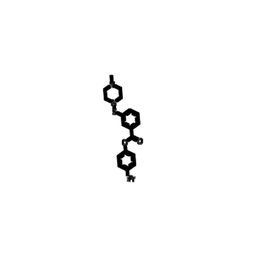 CC(C)c1ccc(OC(=O)c2cccc(SN3CCN(C)CC3)c2)cc1